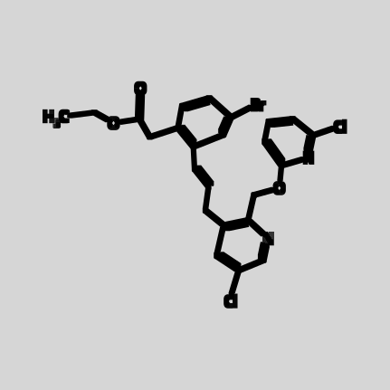 CCOC(=O)Cc1ccc(Br)cc1/C=C/Cc1cc(Cl)cnc1COc1cccc(Cl)n1